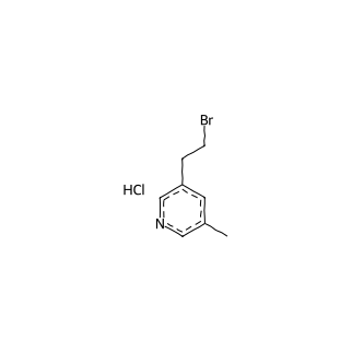 Cc1cncc(CCBr)c1.Cl